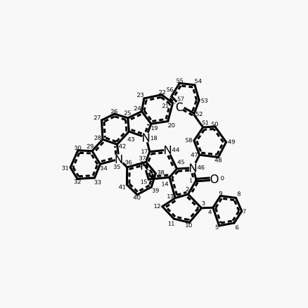 O=c1c2c(-c3ccccc3)cccc2c2cnc(-n3c4ccccc4c4ccc5c6ccccc6n(-c6ccccc6)c5c43)nc2n1-c1cccc(-c2ccccc2)c1